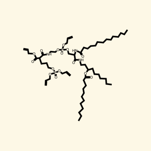 C=CCOC(=O)C(CCCOP(=O)(OCC=C)OCC=C)C(=O)NCCOP(=O)(OCC=C)OCC(NC(=O)CCCCCCCCCCCCC)C(=O)NCCC(CCCCCCC)OC(=O)CCCCCCCCCCC